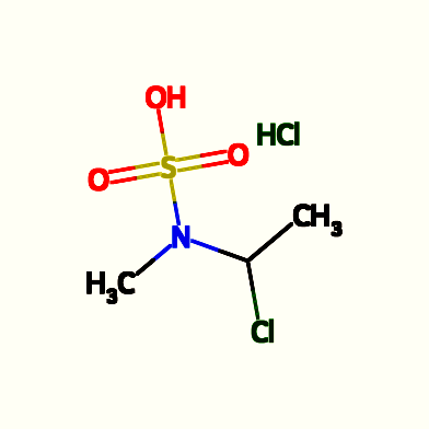 CC(Cl)N(C)S(=O)(=O)O.Cl